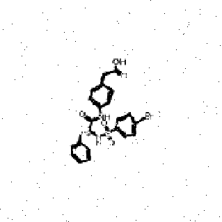 O=C(O)Cc1ccc(NC(=O)[C@@H](Cc2ccccc2)NS(=O)(=O)c2ccc(Br)cc2)cc1